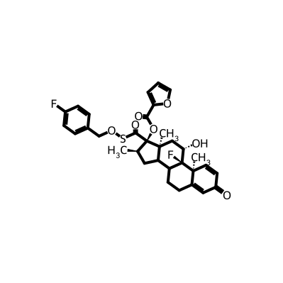 C[C@@H]1CC2C3CCC4=CC(=O)C=C[C@]4(C)[C@@]3(F)[C@@H](O)C[C@]2(C)[C@@]1(OC(=O)c1ccco1)C(=O)SOCc1ccc(F)cc1